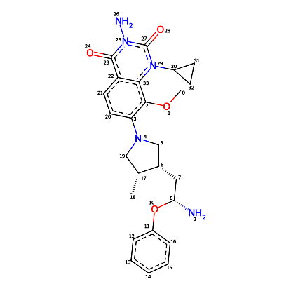 COc1c(N2C[C@H](C[C@H](N)Oc3ccccc3)[C@H](C)C2)ccc2c(=O)n(N)c(=O)n(C3CC3)c12